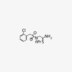 CCCN(CC(N)=S)S(=O)(=O)Cc1ccccc1Cl